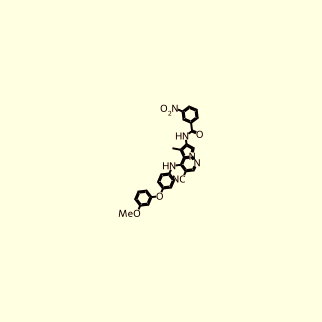 COc1cccc(Oc2ccc(Nc3c(C#N)cnn4cc(NC(=O)c5cccc([N+](=O)[O-])c5)c(C)c34)cc2)c1